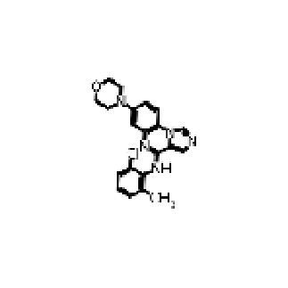 Cc1cccc(Cl)c1Nc1nc2cc(N3CCOCC3)ccc2n2cncc12